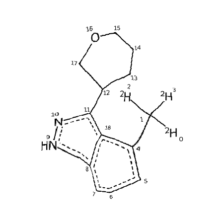 [2H]C([2H])([2H])c1cccc2[nH]nc(C3CCCOC3)c12